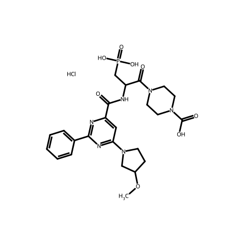 COC1CCN(c2cc(C(=O)NC(CP(=O)(O)O)C(=O)N3CCN(C(=O)O)CC3)nc(-c3ccccc3)n2)C1.Cl